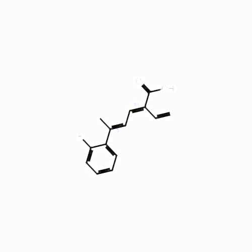 C=C/C(=C\C=C(/C)c1ccccc1F)C(=O)O